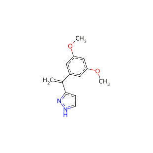 C=C(c1cc(OC)cc(OC)c1)c1cc[nH]n1